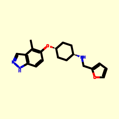 Cc1c(O[C@H]2CC[C@@H](NCc3ccco3)CC2)ccc2[nH]ncc12